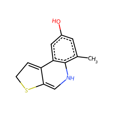 Cc1cc(O)cc2c1NC=C1SCC=C12